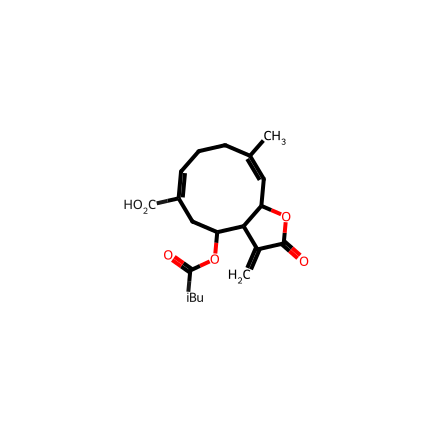 C=C1C(=O)OC2/C=C(/C)CC/C=C(/C(=O)O)CC(OC(=O)C(C)CC)C12